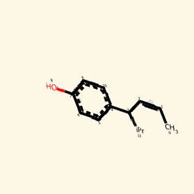 C/C=C\C(c1ccc(O)cc1)C(C)C